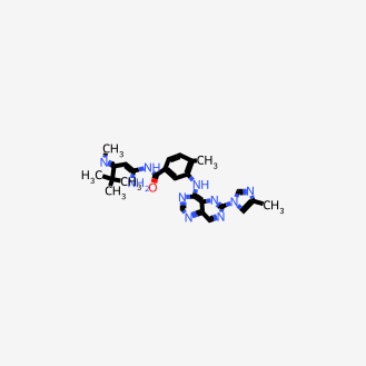 C/N=C(\C=C(/N)NC(=O)c1ccc(C)c(Nc2ncnc3cnc(-n4cnc(C)c4)nc23)c1)C(C)(C)C